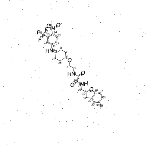 O=C(NCCOC1CCC(Nc2ccc([N+](=O)[O-])c(C(F)(F)F)c2)CC1)C(=O)NCC1Cc2cc(F)ccc2O1